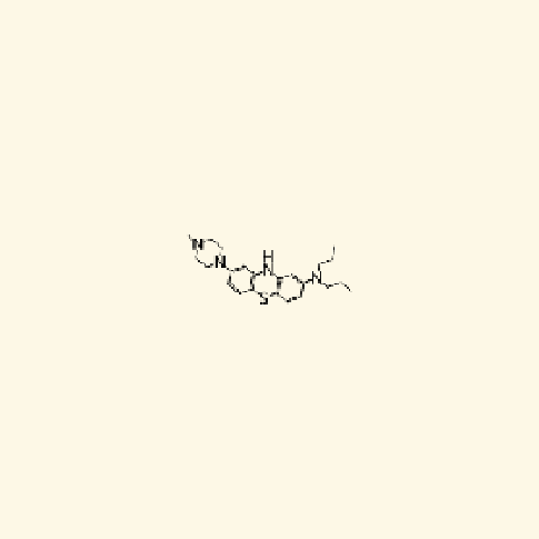 CCCN(CCC)c1ccc2c(c1)Nc1cc(N3CCN(C)CC3)ccc1S2